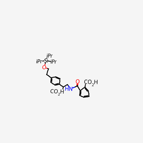 CC(C)[Si](OCCc1ccc(C(CNC(=O)c2ccccc2C(=O)O)C(=O)O)cc1)(C(C)C)C(C)C